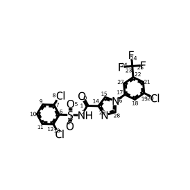 O=C(NS(=O)(=O)c1c(Cl)cccc1Cl)c1cn(-c2cc(Cl)cc(C(F)(F)F)c2)cn1